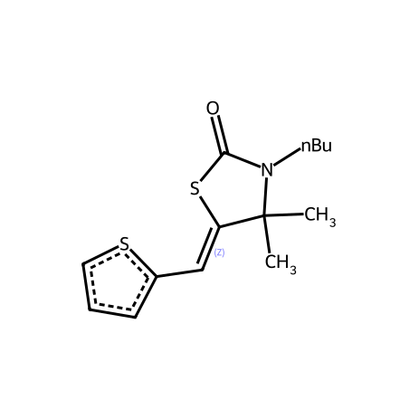 CCCCN1C(=O)S/C(=C\c2cccs2)C1(C)C